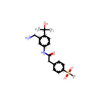 CCS(=O)(=O)c1ccc(CC(=O)Nc2ccc(C(O)(C(F)(F)F)C(F)(F)F)c(CN)c2)cc1